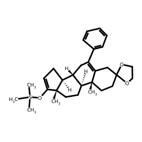 C[C@]12CCC3(CC1=C(c1ccccc1)C[C@@H]1[C@@H]2CC[C@]2(C)C(O[Si](C)(C)C)=CC[C@@H]12)OCCO3